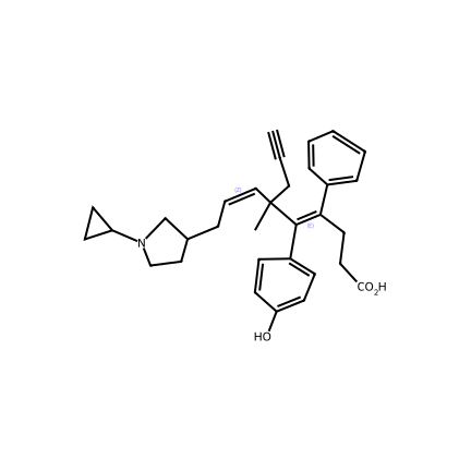 C#CCC(C)(/C=C\CC1CCN(C2CC2)C1)/C(=C(/CCC(=O)O)c1ccccc1)c1ccc(O)cc1